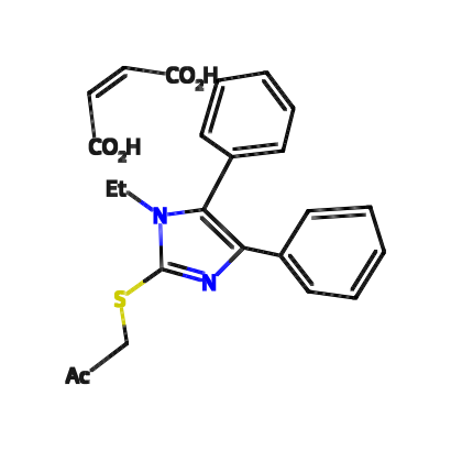 CCn1c(SCC(C)=O)nc(-c2ccccc2)c1-c1ccccc1.O=C(O)/C=C\C(=O)O